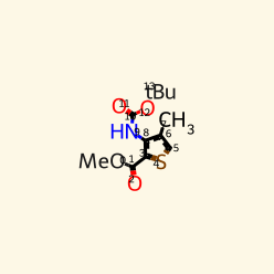 COC(=O)c1scc(C)c1NC(=O)OC(C)(C)C